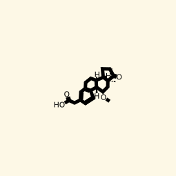 CO[C@H]1C[C@]2(C)C(=O)[CH]C[C@H]2[C@@H]2CCc3cc(CC(=O)O)ccc3[C@H]21